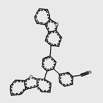 N#Cc1cccc(-c2cc(-c3ccc4sc5ccccc5c4c3)ccc2-c2cccc3c2oc2ccccc23)c1